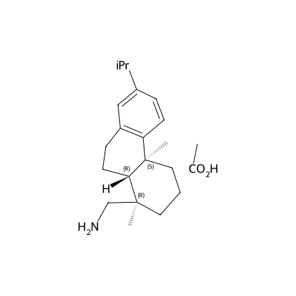 CC(=O)O.CC(C)c1ccc2c(c1)CC[C@H]1[C@](C)(CN)CCC[C@]21C